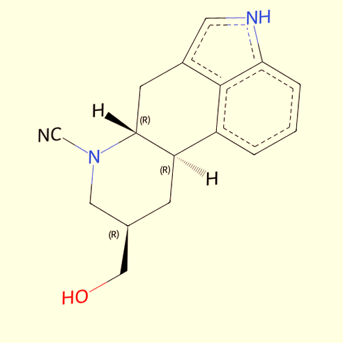 N#CN1C[C@H](CO)C[C@@H]2c3cccc4[nH]cc(c34)C[C@H]21